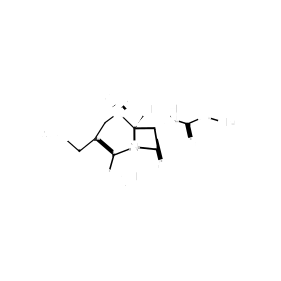 CC(=O)OCC1=C(C(=O)O)N2C(=O)[C@@H](NC(=O)OC(C)(C)C)[C@H]2S(=O)(=O)C1